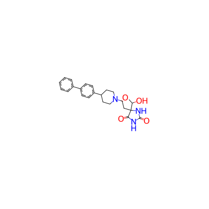 CC(O)C1(CC(=O)N2CCC(c3ccc(-c4ccccc4)cc3)CC2)NC(=O)NC1=O